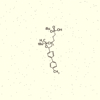 CCC(C)OP(=O)(O)CCCCCC(O[Si](C)(C)C(C)(C)C)c1ccc(-c2ccc(C)cc2)cc1